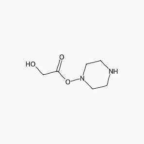 O=C(CO)ON1CCNCC1